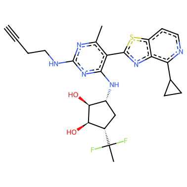 C#CCCNc1nc(C)c(-c2nc3c(C4CC4)nccc3s2)c(N[C@@H]2C[C@H](C(C)(F)F)[C@@H](O)[C@H]2O)n1